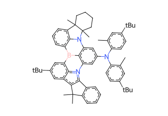 Cc1cc(C(C)(C)C)ccc1N(c1cc2c3c(c1)-n1c4c(c5cc(C(C)(C)C)cc(c51)B3c1cccc3c1N2C1(C)CCCCC31C)C(C)(C)c1ccccc1-4)c1ccc(C(C)(C)C)cc1C